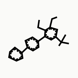 CCc1cc(C(C)(C)C)cc(-c2ccc(-c3ccccc3)cc2)c1CC